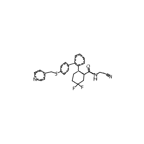 N#CCNC(=O)C1CC(F)(F)CCC1c1ccccc1-c1ccc(SCc2ccncc2)cc1